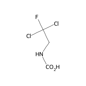 O=C(O)NCC(F)(Cl)Cl